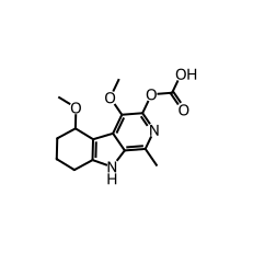 COc1c(OC(=O)O)nc(C)c2[nH]c3c(c12)C(OC)CCC3